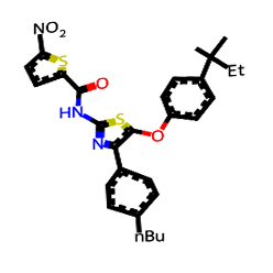 CCCCc1ccc(-c2nc(NC(=O)c3ccc([N+](=O)[O-])s3)sc2Oc2ccc(C(C)(C)CC)cc2)cc1